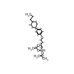 CCCC1CCC(c2ccc(OCCCC[SiH](OC(C)C)OC(C)C)cc2)CC1